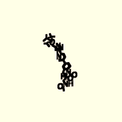 CC(=O)NC[C@@H]1OC(=O)N2c3ccc(-c4ccc(-n5cc(CO[Si](C(C)C)(C(C)C)C(C)C)nn5)nc4)cc3C[C@H]12